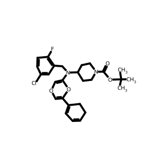 CC(C)(C)OC(=O)N1CCC(N(Cc2cc(Cl)ccc2F)C2=COC=C(C3=CC=CCC3)O2)CC1